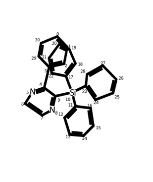 c1ccc(-c2nccnc2[Si](c2ccccc2)(c2ccccc2)c2ccccc2)cc1